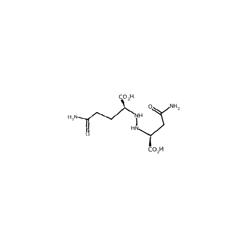 NC(=O)CC[C@H](NN[C@@H](CC(N)=O)C(=O)O)C(=O)O